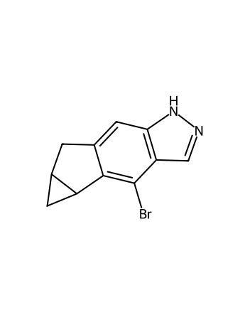 Brc1c2c(cc3[nH]ncc13)CC1CC21